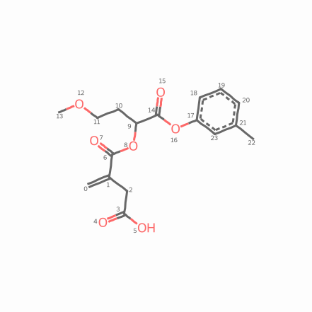 C=C(CC(=O)O)C(=O)OC(CCOC)C(=O)Oc1cccc(C)c1